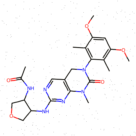 COc1cc(OC)c(C)c(N2Cc3cnc(NC4COCC4NC(C)=O)nc3N(C)C2=O)c1C